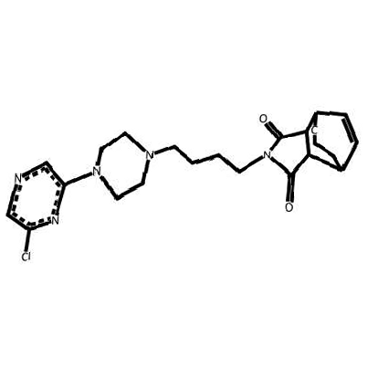 O=C1C2C3C=CC(CCC3)C2C(=O)N1CCCCN1CCN(c2cncc(Cl)n2)CC1